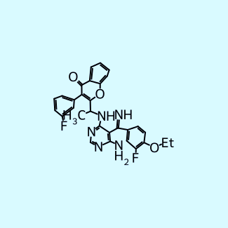 CCOc1ccc(C(=N)c2c(N)ncnc2NC(C)c2oc3ccccc3c(=O)c2-c2cccc(F)c2)cc1F